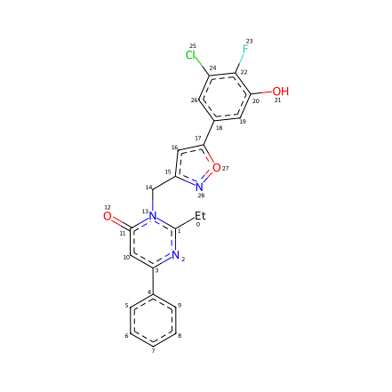 CCc1nc(-c2ccccc2)cc(=O)n1Cc1cc(-c2cc(O)c(F)c(Cl)c2)on1